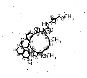 COCC12CC(NC(=O)N[S@@]3(=O)=NC(=O)c4ccc5c(c4)N(C[C@@H]4CC[C@H]4[C@@H](OC)/C=C/C[C@H](C)C3)C[C@@]3(CCCc4cc(Cl)ccc43)CO5)(C1)C2